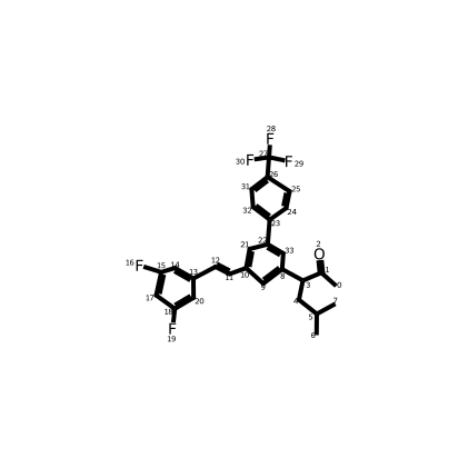 CC(=O)C(CC(C)C)c1cc(/C=C/c2cc(F)cc(F)c2)cc(-c2ccc(C(F)(F)F)cc2)c1